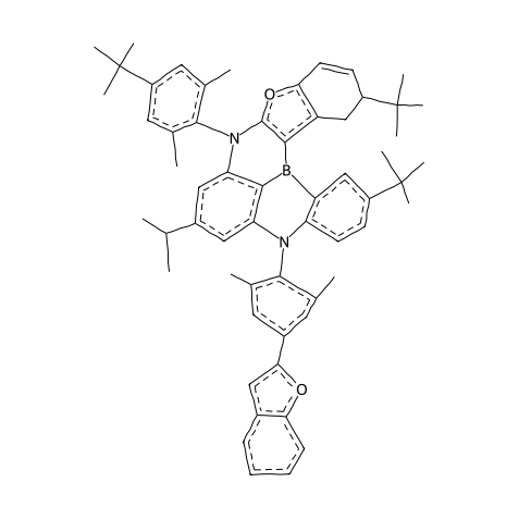 Cc1cc(-c2cc3ccccc3o2)cc(C)c1N1c2ccc(C(C)(C)C)cc2B2c3c1cc(C(C)C)cc3N(c1c(C)cc(C(C)(C)C)cc1C)c1oc3c(c12)CC(C(C)(C)C)C=C3